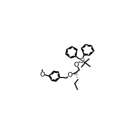 CCC[C@@H](CO[Si](c1ccccc1)(c1ccccc1)C(C)(C)C)OCc1ccc(OC)cc1